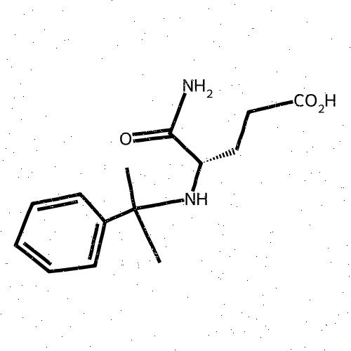 CC(C)(N[C@@H](CCC(=O)O)C(N)=O)c1ccccc1